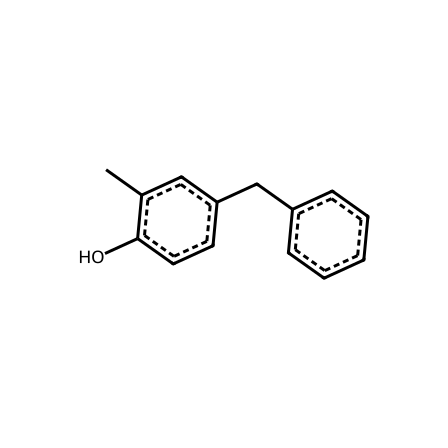 Cc1cc(Cc2ccccc2)ccc1O